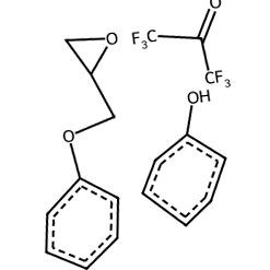 O=C(C(F)(F)F)C(F)(F)F.Oc1ccccc1.c1ccc(OCC2CO2)cc1